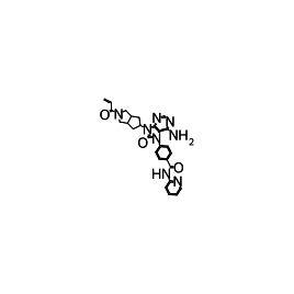 C=CC(=O)N1CC2CC(n3c(=O)n(-c4ccc(C(=O)Nc5ccccn5)cc4)c4c(N)ncnc43)CC2C1